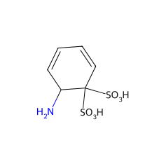 NC1C=CC=CC1(S(=O)(=O)O)S(=O)(=O)O